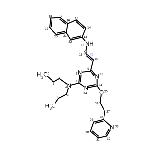 CCCN(CCC)c1nc(/C=N/Nc2ccc3ccccc3c2)nc(OCCc2ccccn2)n1